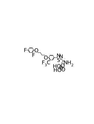 C[C@](N)(COP(=O)(O)O)c1nnc(-c2ccc(OCCCCOc3ccc(F)cc3F)c(C(F)(F)F)c2)s1